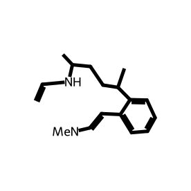 C=CNC(C)CCC(C)c1ccccc1/C=C/NC